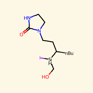 CCCCC(CCN1CCNC1=O)[SiH](I)CO